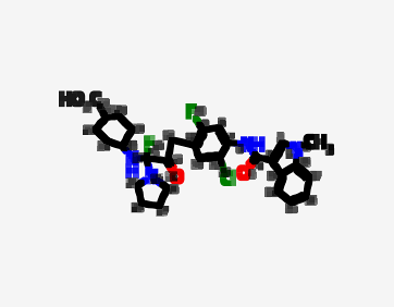 Cn1cc(C(=O)Nc2cc(F)c(CC(=O)C(F)(NC3CCC(C(=O)O)CC3)N3CCCC3)cc2Cl)c2ccccc21